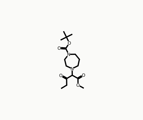 CCC(=O)C(C(=O)OC)N1CCCN(C(=O)OC(C)(C)C)CC1